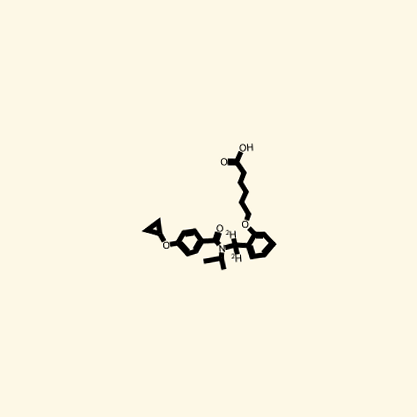 [2H]C([2H])(c1ccccc1OCCCCCC(=O)O)N(C(=O)c1ccc(OC2CC2)cc1)C(C)C